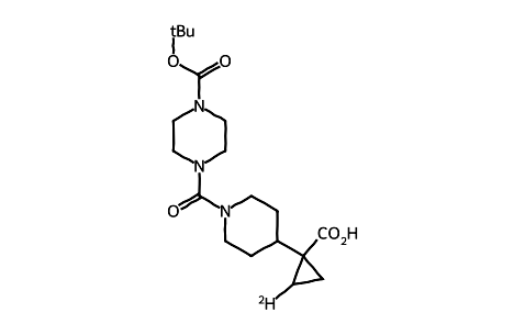 [2H]C1CC1(C(=O)O)C1CCN(C(=O)N2CCN(C(=O)OC(C)(C)C)CC2)CC1